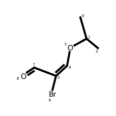 CC(C)O/C=C(/Br)C=O